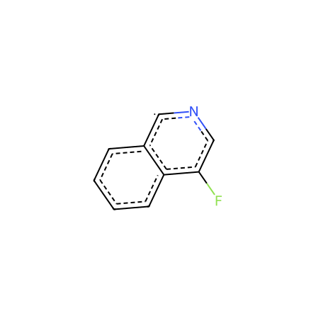 Fc1cn[c]c2ccccc12